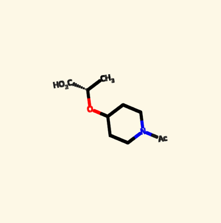 CC(=O)N1CCC(O[C@@H](C)C(=O)O)CC1